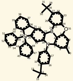 Cc1cc2c3c(c1)N(c1ccc(C(C)(C)C)cc1)c1cc4c(cc1B3c1cc(C(C)(C)C)ccc1O2)-c1ccccc1[Si]4(c1ccccc1)c1ccccc1